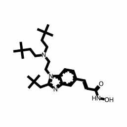 CC(C)(C)CCN(CCn1c(CC(C)(C)C)nc2cc(C=CC(=O)NO)ccc21)CCC(C)(C)C